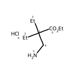 CCOC(=O)C(CC)(CC)CN.Cl